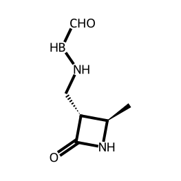 C[C@H]1NC(=O)[C@@H]1CNBC=O